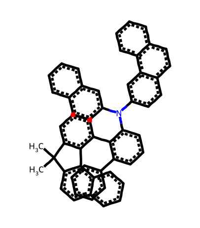 CC1(C)c2cccc(-c3c(-c4ccccc4)cccc3N(c3ccc4ccccc4c3)c3ccc4ccc5ccccc5c4c3)c2-c2c1ccc1ccccc21